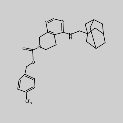 O=C(OCc1ccc(C(F)(F)F)cc1)N1CCc2c(ncnc2NCC23CC4CC(CC(C4)C2)C3)C1